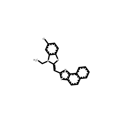 CCN1C(=Cc2nc3c(ccc4ccccc43)s2)Sc2ccc(Cl)cc21